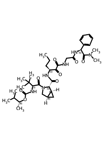 CCC[C@H](NC(=O)[C@@H]1[C@H]2C[C@H]2CN1C(=O)[C@@H](NC(=O)O[C@H](C)C(C)C)C(C)(C)C)C(=O)C(=O)NCC(=O)N[C@H](C(=O)N(C)C)c1ccccc1